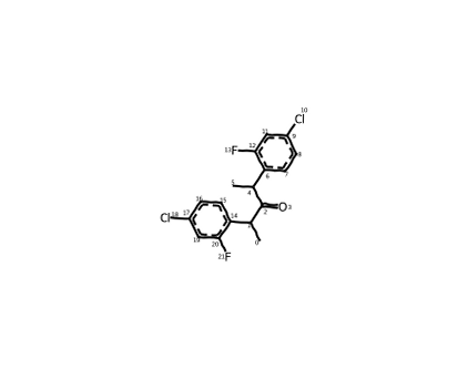 CC(C(=O)C(C)c1ccc(Cl)cc1F)c1ccc(Cl)cc1F